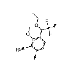 CCOC(c1ccc(F)c(C#N)c1OC)C(F)(F)F